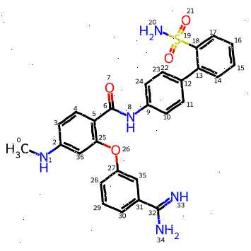 CNc1ccc(C(=O)Nc2ccc(-c3ccccc3S(N)(=O)=O)cc2)c(Oc2cccc(C(=N)N)c2)c1